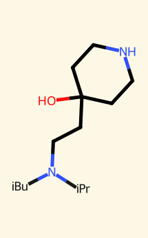 CCC(C)N(CCC1(O)CCNCC1)C(C)C